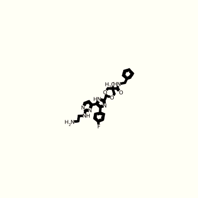 CC1(C(=O)NCc2ccccc2)COC(c2nc(-c3ccc(F)cc3)c(-c3ccnc(NCCN)n3)[nH]2)OC1